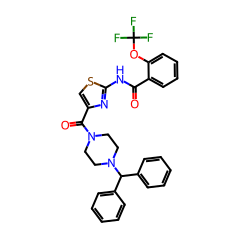 O=C(Nc1nc(C(=O)N2CCN(C(c3ccccc3)c3ccccc3)CC2)cs1)c1ccccc1OC(F)(F)F